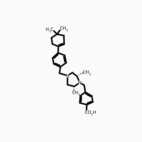 C[C@@H]1CN(Cc2ccc(C3=CCC(C)(C)CC3)cc2)C[C@H](C)N1Cc1ccc(C(=O)O)cc1